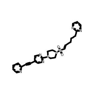 O=S(=O)(/C=C/CCCc1ncccn1)N1CCN(c2ncc(C#Cc3ccccn3)cn2)CC1